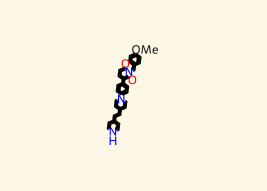 COc1ccc(CN2C(=O)CCC(c3ccc(N4CCC(CCC5CCNCC5)CC4)cc3)C2=O)cc1